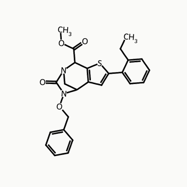 CCc1ccccc1-c1cc2c(s1)C(C(=O)OC)N1CC2N(OCc2ccccc2)C1=O